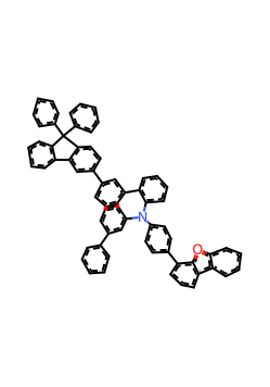 c1ccc(-c2cccc(N(c3ccc(-c4cccc5c4oc4ccccc45)cc3)c3ccccc3-c3cccc(-c4ccc5c(c4)-c4ccccc4C5(c4ccccc4)c4ccccc4)c3)c2)cc1